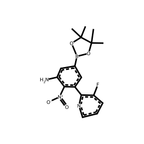 CC1(C)OB(c2cc(N)c([N+](=O)[O-])c(-c3ncccc3F)c2)OC1(C)C